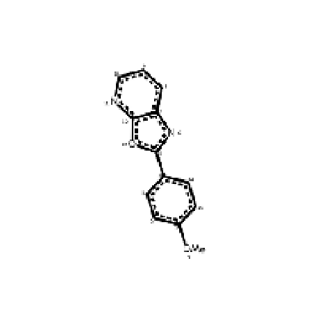 COc1ccc(-c2nc3cccnc3o2)cc1